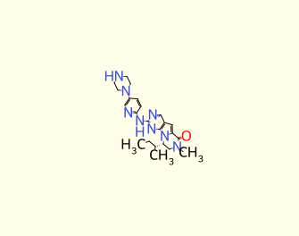 CCC(C)[C@H]1CN(C)C(=O)c2cc3cnc(Nc4ccc(N5CCNCC5)cn4)nc3n21